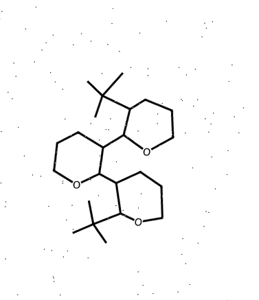 CC(C)(C)C1CCCOC1C1CCCOC1C1CCCOC1C(C)(C)C